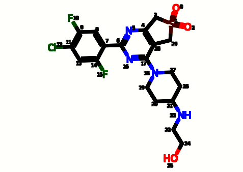 O=S1(=O)Cc2nc(-c3cc(F)c(Cl)cc3F)nc(N3CCC(NCCO)CC3)c2C1